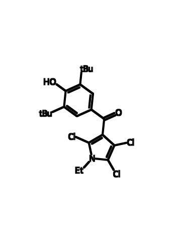 CCn1c(Cl)c(Cl)c(C(=O)c2cc(C(C)(C)C)c(O)c(C(C)(C)C)c2)c1Cl